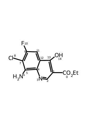 CCOC(=O)c1cnc2c(N)c(Cl)c(F)cc2c1O